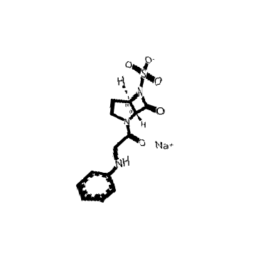 O=C(CNc1ccccc1)N1CC[C@@H]2[C@@H]1C(=O)N2S(=O)(=O)[O-].[Na+]